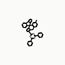 Cc1ccc2c(c1)C1(c3ccccc3-c3ccccc31)c1cccc(-c3nc(-c4ccccc4)nc(-c4ccccc4)n3)c1C2